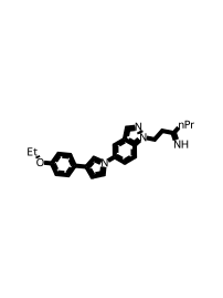 CCCC(=N)CCn1ncc2cc(-n3ccc(-c4ccc(OCC)cc4)c3)ccc21